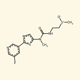 CN(C(=O)NCC[S+](C)[O-])c1cnc(-c2cncc(F)c2)s1